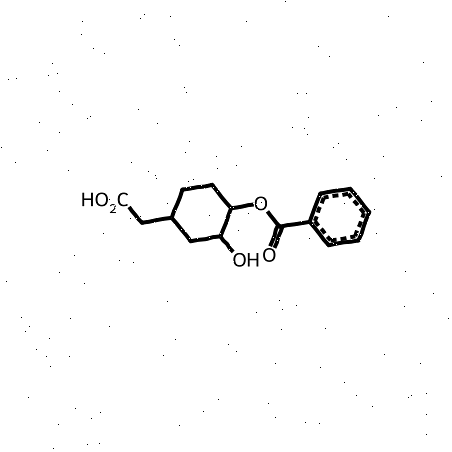 O=C(O)CC1CCC(OC(=O)c2ccccc2)C(O)C1